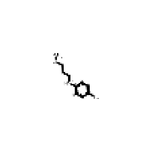 CSCCCNc1ccc(F)cc1